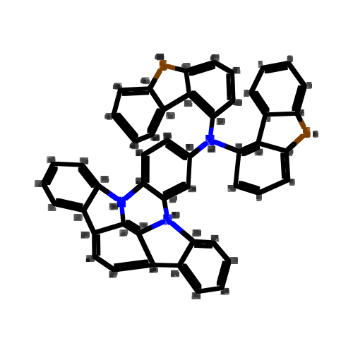 c1ccc2c(c1)sc1cccc(N(c3ccc4c(c3)n3c5ccccc5c5ccc6c7ccccc7n4c6c53)c3cccc4sc5ccccc5c34)c12